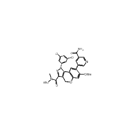 COc1cc2c(cc1-c1cncc(C(N)=O)c1)-c1c(c(C(=O)N(C)C(C)(C)C)nn1-c1cc(Cl)cc(Cl)c1)CO2